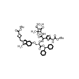 C[n+]1c2ccc(OC[C@@H](O/N=C(\C(=O)N[C@@H]3C(=O)N(OS(=O)(=O)O)C3(C)C)c3csc(NC(=O)OC(C)(C)C)n3)C(=O)OC(c3ccccc3)c3ccccc3)cc2cn1CC1CN(C(=O)OC(C)(C)C)C1